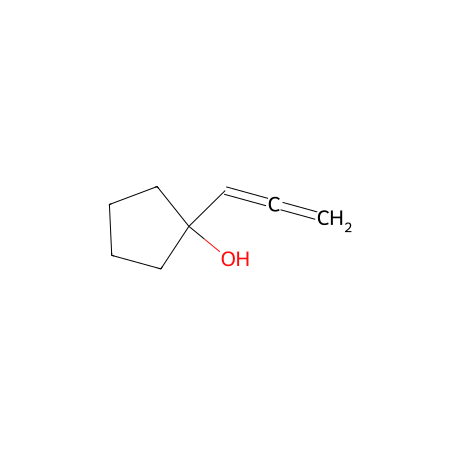 C=C=CC1(O)CCCC1